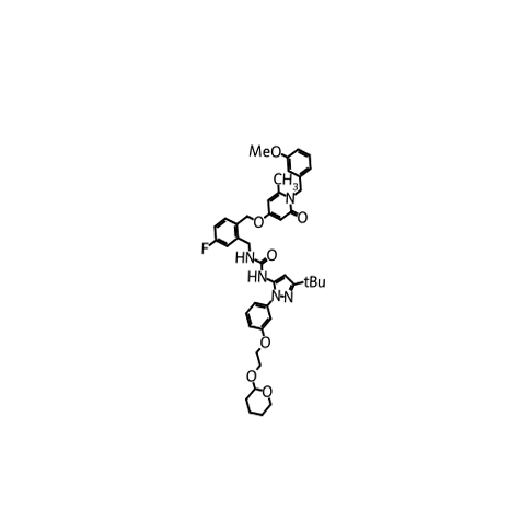 COc1cccc(Cn2c(C)cc(OCc3ccc(F)cc3CNC(=O)Nc3cc(C(C)(C)C)nn3-c3cccc(OCCOC4CCCCO4)c3)cc2=O)c1